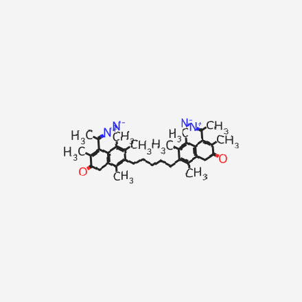 CC(=[N+]=[N-])C1=C(C)C(=O)Cc2c(C)c(CCCCCc3c(C)c(C)c4c(c3C)CC(=O)C(C)=C4C(C)=[N+]=[N-])c(C)c(C)c21